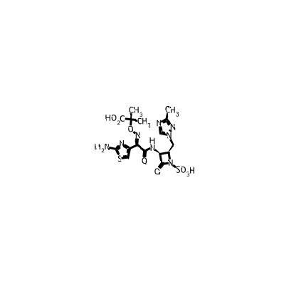 Cc1ncn(C[C@@H]2[C@H](NC(=O)C(=NOC(C)(C)C(=O)O)c3csc(N)n3)C(=O)N2S(=O)(=O)O)n1